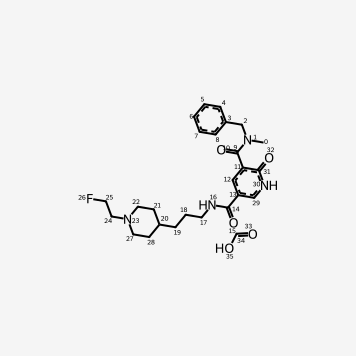 CN(Cc1ccccc1)C(=O)c1cc(C(=O)NCCCC2CCN(CCF)CC2)c[nH]c1=O.O=CO